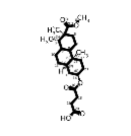 COC(=O)[C@@]1(C)CCC2C(CC[C@@H]3C[C@H](OC(=O)CCC(=O)O)CC[C@]23C)[C@@H]1C